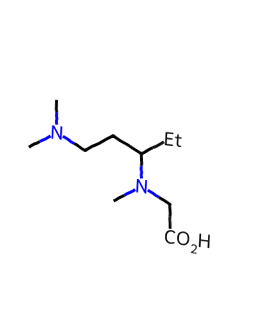 CCC(CCN(C)C)N(C)CC(=O)O